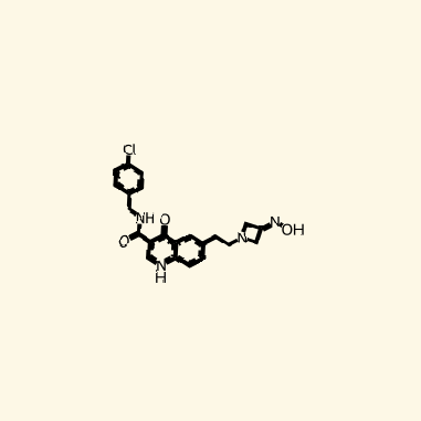 O=C(NCc1ccc(Cl)cc1)c1c[nH]c2ccc(CCN3CC(=NO)C3)cc2c1=O